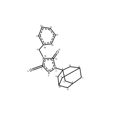 O=c1sn(C23CC4CC(CC(C4)C2)C3)c(=O)n1Cc1ccccc1